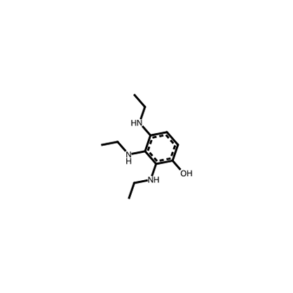 CCNc1ccc(O)c(NCC)c1NCC